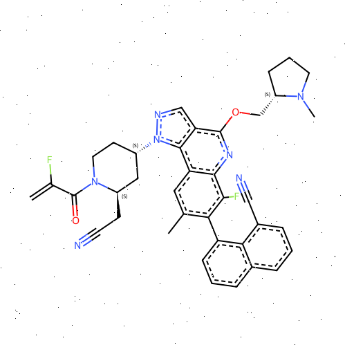 C=C(F)C(=O)N1CC[C@H](n2ncc3c(OC[C@@H]4CCCN4C)nc4c(F)c(-c5cccc6cccc(C#N)c56)c(C)cc4c32)C[C@H]1CC#N